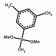 CO[Si](C)(OC)c1cc(C)cc(C)c1